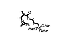 CO[Si](CCCOC(=O)C(C)CN1CC1C)(OC)OC